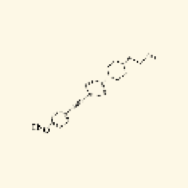 C=CCC[C@H]1CC[C@H](c2ccc(C#Cc3ccc(OCC)cc3)cc2)CC1